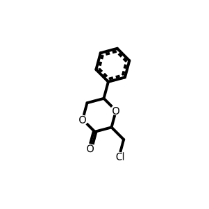 O=C1OCC(c2ccccc2)OC1CCl